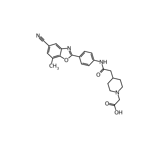 Cc1cc(C#N)cc2nc(-c3ccc(NC(=O)CC4CCN(CC(=O)O)CC4)cc3)oc12